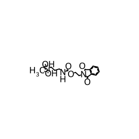 C[Si](O)(O)CCCNC(=O)OCCN1C(=O)c2ccccc2C1=O